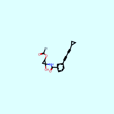 CCC(=O)OC1CC1(O)NC(=O)c1cccc(C#CC#CC2CC2)c1